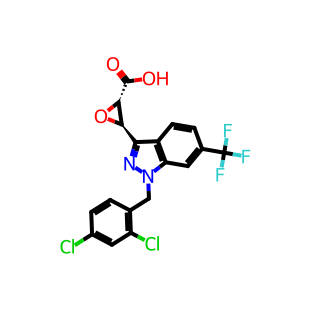 O=C(O)[C@H]1O[C@@H]1c1nn(Cc2ccc(Cl)cc2Cl)c2cc(C(F)(F)F)ccc12